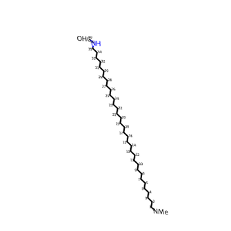 CNCCCCCCCCCCCCCCCCCCCCCCCCCCCCCCCCCCCNC=O